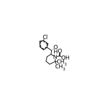 CC1(C)CCCC([C@@H](O)c2cccc(Cl)c2)N1C(=O)O